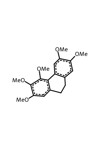 COc1cc2c(cc1OC)-c1c(cc(OC)c(OC)c1OC)CC2